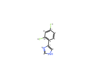 Fc1ccc(-c2c[nH][c]n2)c(F)c1